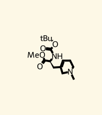 COC(=O)[C@H](CC1=CCCN(C)C1)NC(=O)OC(C)(C)C